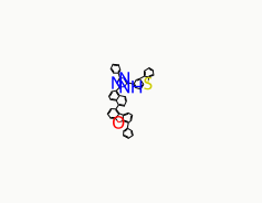 c1ccc(C2=NC(c3cccc4c(-c5cccc6oc7c(-c8ccccc8)cccc7c56)cccc34)NC(c3ccc4sc5ccccc5c4c3)=N2)cc1